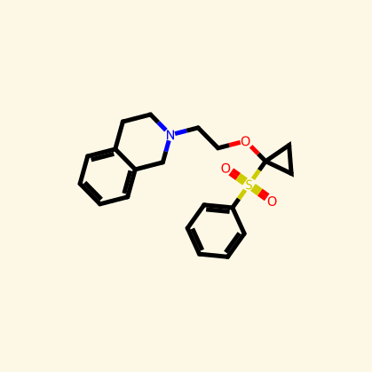 O=S(=O)(c1ccccc1)C1(OCCN2CCc3ccccc3C2)CC1